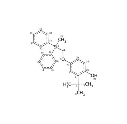 CC(C)(C)c1cc(OC[Si](C)(c2ccccc2)c2ccccc2)ccc1O